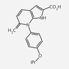 C=C1C=Cc2cc(C(=O)O)[nH]c2N1c1ccc(OC(C)C)cc1